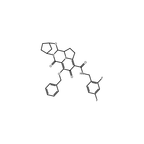 O=C(NCc1ccc(F)cc1F)c1c2n3c(c(OCc4ccccc4)c1=O)C(=O)N1C4CCC(C4)OC1C3CC2